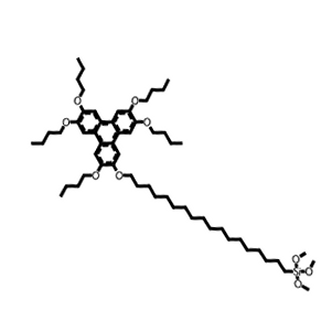 CCCCOc1cc2c3cc(OCCCC)c(OCCCC)cc3c3cc(OCCCCCCCCCCCCCCCCCC[Si](OC)(OC)OC)c(OCCCC)cc3c2cc1OCCCC